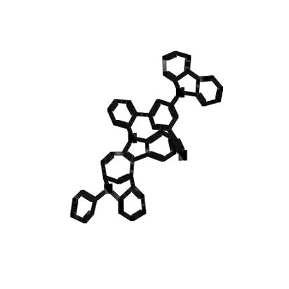 N#Cc1cc(-c2ccccc2-n2c3c(c4ccccc42)C2=CC(C=C3)N(c3ccccc3)c3ccccc32)cc(-n2c3ccccc3c3ccccc32)c1